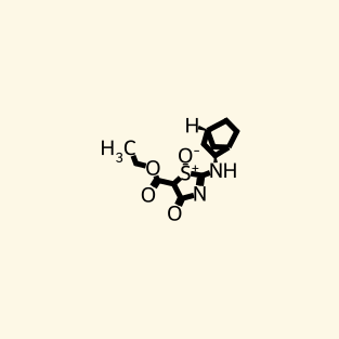 CCOC(=O)C1C(=O)N=C(N[C@H]2C[C@@H]3CCC2C3)[S+]1[O-]